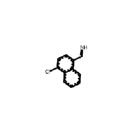 N=Cc1ccc(Cl)c2ccccc12